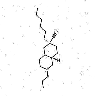 CCCCCC[C@]1(C#N)CC[C@@H]2C[C@@H](CCC)CCC2C1